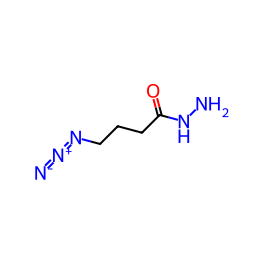 [N-]=[N+]=NCCCC(=O)NN